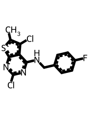 Cc1sc2nc(Cl)nc(NCc3ccc(F)cc3)c2c1Cl